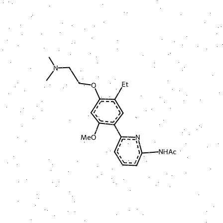 CCc1cc(-c2cccc(NC(C)=O)n2)c(OC)cc1OCCN(C)C